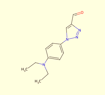 CCN(CC)c1ccc(-n2cc(C=O)nn2)cc1